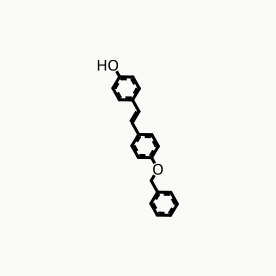 Oc1ccc(C=Cc2ccc(OCc3ccccc3)cc2)cc1